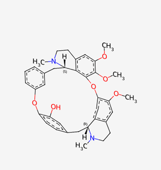 COc1cc2c3cc1Oc1c(OC)c(OC)cc4c1[C@H](Cc1cccc(c1)Oc1ccc(cc1O)C[C@H]3N(C)CC2)N(C)CC4